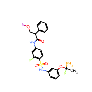 CC(F)(P)Oc1cccc(NS(=O)(=O)c2ccc(NC(=O)C(COI)c3ccccc3)cc2F)c1